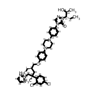 CC[C@@H](COc1ccc(N2CCN(c3ccc(-n4cnn([C@@H](CC)[C@H](C)O)c4=O)cc3)CC2)cc1)C[C@](C)(Cn1nccn1)c1ccc(Cl)cc1Cl